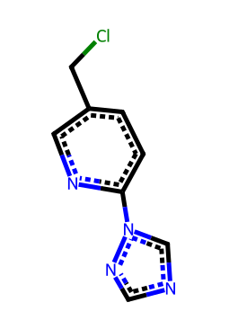 ClCc1ccc(-n2cncn2)nc1